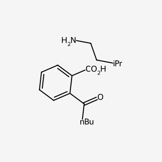 CC(C)CCN.CCCCC(=O)c1ccccc1C(=O)O